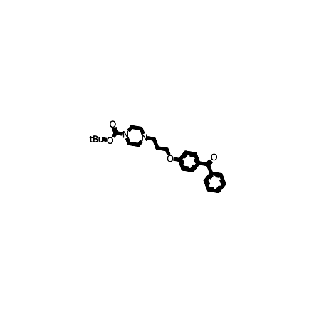 CC(C)(C)OC(=O)N1CCN(CCCOc2ccc(C(=O)c3ccccc3)cc2)CC1